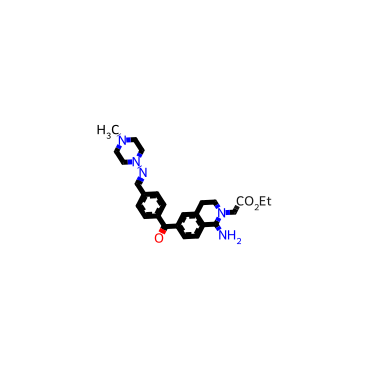 CCOC(=O)CN1CCc2cc(C(=O)c3ccc(C=NN4CCN(C)CC4)cc3)ccc2C1N